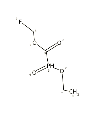 CCO[PH](=O)C(=O)OCF